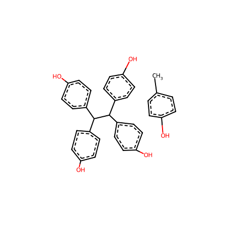 Cc1ccc(O)cc1.Oc1ccc(C(c2ccc(O)cc2)C(c2ccc(O)cc2)c2ccc(O)cc2)cc1